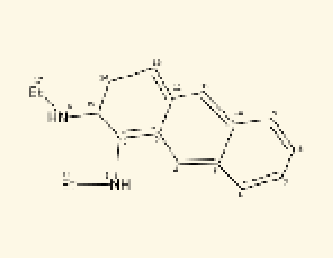 CCNC1=c2cc3ccccc3cc2=CCC1NCC